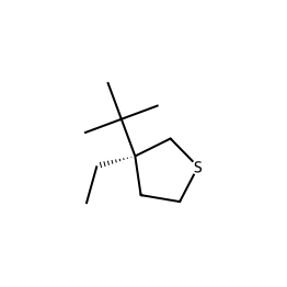 CC[C@@]1(C(C)(C)C)CCSC1